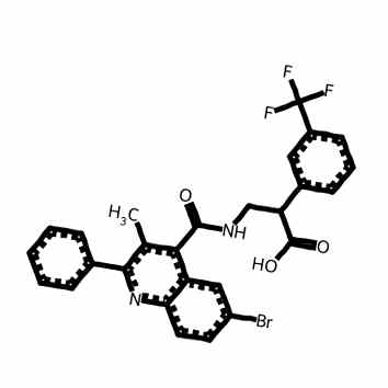 Cc1c(-c2ccccc2)nc2ccc(Br)cc2c1C(=O)NCC(C(=O)O)c1cccc(C(F)(F)F)c1